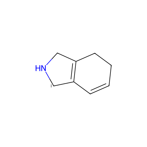 [C]1NCC2=C1C=CCC2